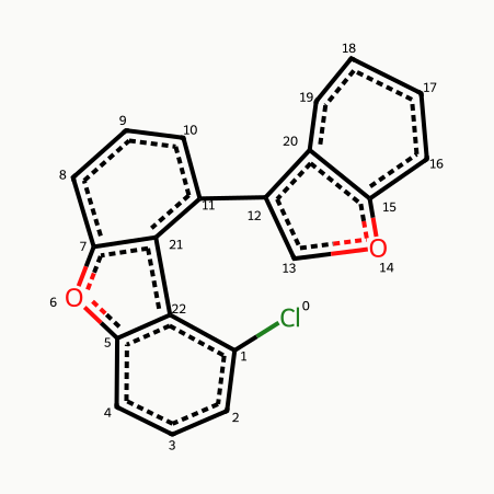 Clc1cccc2oc3cccc(-c4coc5ccccc45)c3c12